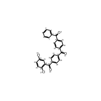 O=C(c1ccccc1)c1ccc(C(=O)c2ccc(C(=O)c3cc(Cl)ccc3Cl)cc2)cc1